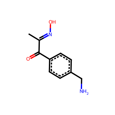 CC(=NO)C(=O)c1ccc(CN)cc1